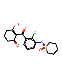 O=C1CCCC(O)=C1C(=O)c1cccc(N=S2(=O)CCCCC2)c1Cl